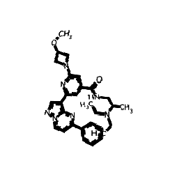 CCN(CC)C(C)CNC(=O)c1cc(-c2cnn3ccc(-c4ccccc4)nc23)nc(N2CC(OC)C2)c1